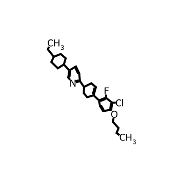 CCCCOc1ccc(C2=CCC(c3ccc(C4CCC(CC)CC4)cn3)CC2)c(F)c1Cl